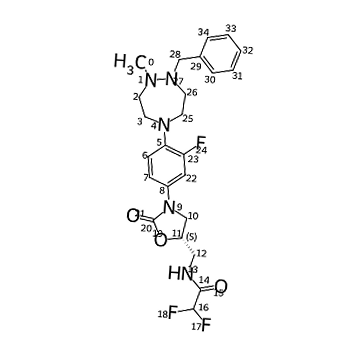 CN1CCN(c2ccc(N3C[C@H](CNC(=O)C(F)F)OC3=O)cc2F)CCN1Cc1ccccc1